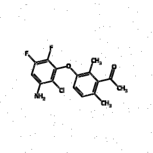 CC(=O)c1c(C)ccc(Oc2c(F)c(F)cc(N)c2Cl)c1C